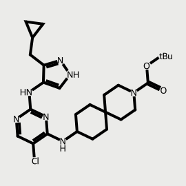 CC(C)(C)OC(=O)N1CCC2(CCC(Nc3nc(Nc4c[nH]nc4CC4CC4)ncc3Cl)CC2)CC1